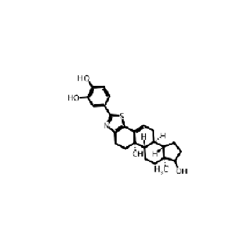 C[C@]12CCc3nc(-c4ccc(O)c(O)c4)sc3C1=CC[C@@H]1[C@@H]2CC[C@]2(C)C(O)CC[C@@H]12